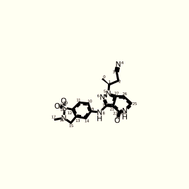 C[C@@H](CC#N)n1nc(Nc2ccc3c(c2)CN(C)S3(=O)=O)c2c(=O)[nH]ccc21